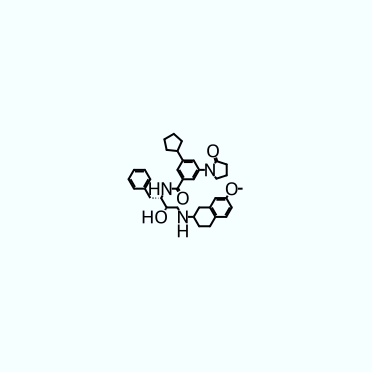 COc1ccc2c(c1)CC(NC[C@@H](O)[C@H](Cc1ccccc1)NC(=O)c1cc(C3CCCC3)cc(N3CCCC3=O)c1)CC2